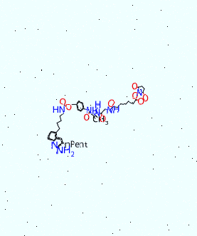 CCCCCc1cc2c(CCCCCNC(=O)OCc3ccc(NC(=O)C(C)NC(=O)CNC(=O)CCCCCC(=O)ON4C(=O)CCC4=O)cc3)cccc2nc1N